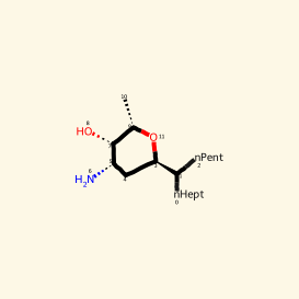 CCCCCCCC(CCCCC)[C@H]1C[C@H](N)[C@H](O)[C@H](C)O1